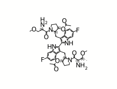 COC[C@H](N)C(=O)N1CC[C@H](OC(C)=O)[C@H]1Cc1c(-c2[nH]c3cc(F)ccc3c2C[C@@H]2[C@@H](OC(C)=O)CCN2C(=O)[C@@H](N)[C@@H](C)OC)[nH]c2cc(F)ccc12